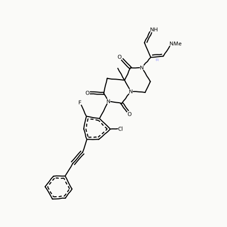 CN/C=C(\C=N)N1CCN2C(=O)N(c3c(F)cc(C#Cc4ccccc4)cc3Cl)C(=O)CC2(C)C1=O